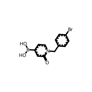 O=c1cc(B(O)O)ccn1Cc1ccc(Br)cc1